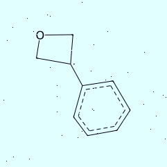 c1ccc([C]2COC2)cc1